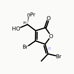 CCC[C@@H](O)C1=C(Br)/C(=C(\C)Br)OC1=O